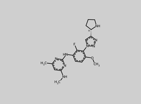 CNc1cc(C)nc(Nc2ccc(OC)c(-n3cc([C@@H]4CCCN4)nn3)c2F)n1